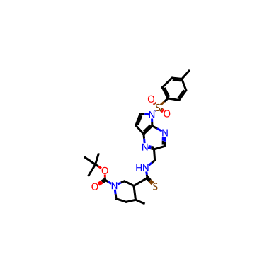 Cc1ccc(S(=O)(=O)n2ccc3nc(CNC(=S)C4CN(C(=O)OC(C)(C)C)CCC4C)cnc32)cc1